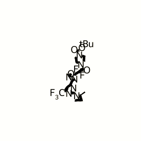 C[C@H]1CCN1c1nc(-c2noc(C(F)(F)C(=O)N3CCN(C(=O)OC(C)(C)C)CC3)n2)cc(C(F)(F)F)n1